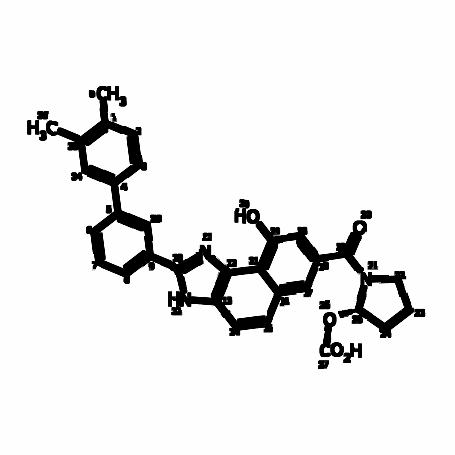 Cc1ccc(-c2cccc(-c3nc4c(ccc5cc(C(=O)N6CCC[C@@H]6OC(=O)O)cc(O)c54)[nH]3)c2)cc1C